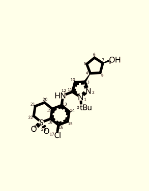 CC(C)(C)n1nc([C@H]2CC[C@@H](O)C2)cc1Nc1ccc(Cl)c2c1CCCS2(=O)=O